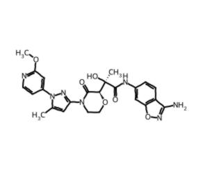 COc1cc(-n2nc(N3CCO[C@H]([C@@](C)(O)C(=O)Nc4ccc5c(N)noc5c4)C3=O)cc2C)ccn1